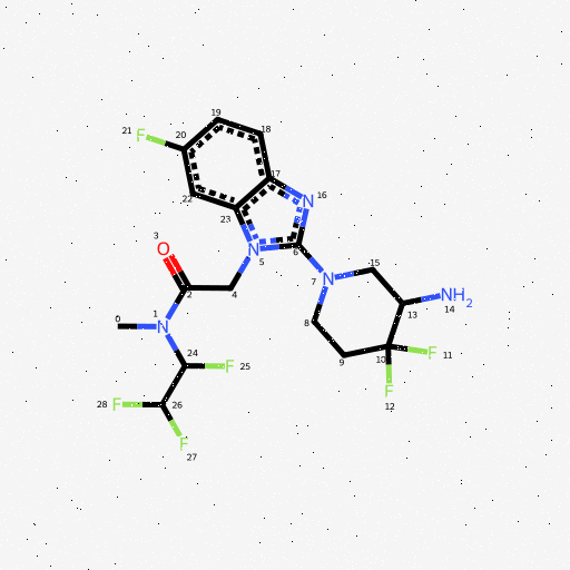 CN(C(=O)Cn1c(N2CCC(F)(F)C(N)C2)nc2ccc(F)cc21)C(F)C(F)F